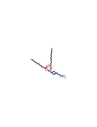 CCCCCCCCCCCCCC(=O)OCCN(CCOC(=O)CCCCCCCCCCCCC)CC1CCN(CCCCN)CC1